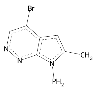 Cc1cc2c(Br)cnnc2n1P